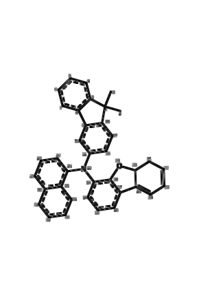 CC1(C)c2ccccc2-c2cc(N(c3cccc4c3OC3CC=CC=C43)c3cccc4ccccc34)ccc21